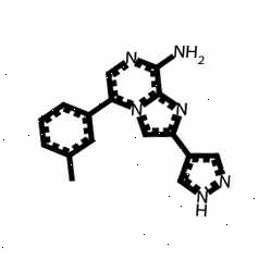 Cc1cccc(-c2cnc(N)c3nc(-c4cn[nH]c4)cn23)c1